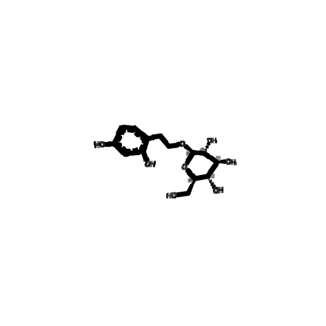 OC[C@H]1O[C@@H](OCCc2ccc(O)cc2O)[C@H](O)[C@@H](O)[C@@H]1O